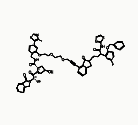 Cc1ncsc1-c1ccc(CNC(=O)[C@@H]2CC(O)CN2C(=O)[C@H](C(C)C)N2Cc3ccccc3C2=O)c(OCCOCCOCC#Cc2cccc3c2C(=O)C(CCC(C(=O)Nc2nccs2)c2cc(F)ccc2OCc2ccccc2)C3)c1